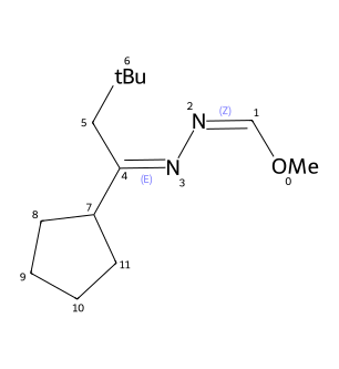 CO/C=N\N=C(/CC(C)(C)C)C1CCCC1